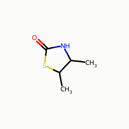 CC1NC(=O)SC1C